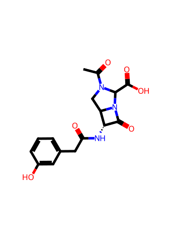 CC(=O)N1CC2[C@@H](NC(=O)Cc3cccc(O)c3)C(=O)N2C1C(=O)O